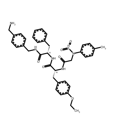 CCOc1ccc(C[C@@H](NC(=O)CN(c2ccc(C)cc2)[SH](=O)=O)C(=O)N[C@@H](Cc2ccccc2)C(=O)NCc2ccc(CN)cc2)cc1